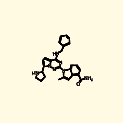 Cc1cc2c(C(N)=O)cccc2n1-c1nc(NCc2ccccc2)c2ccc(C3CCCN3)n2n1